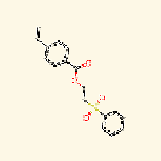 C=Cc1ccc(C(=O)OCCS(=O)(=O)c2ccccc2)cc1